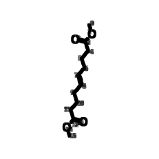 COC(=O)CCCC=CCCCC(=O)OC